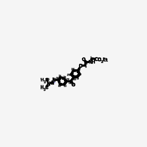 CCOC(=O)CNC(=O)COc1ccc(C(=O)c2ccc(/N=N/N(C)C)cc2)cc1